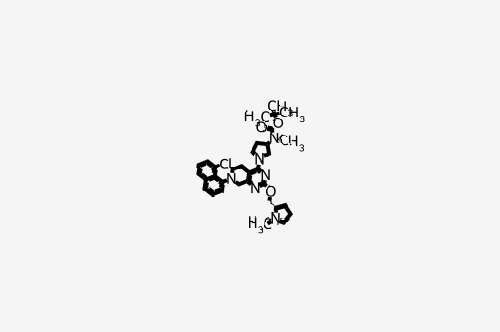 CN(C(=O)OC(C)(C)C)C1CCN(c2nc(OC[C@@H]3CCCN3C)nc3c2CCN(c2cccc4cccc(Cl)c24)C3)C1